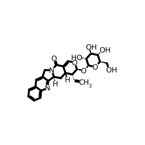 C=C[C@H]1[C@H](O[C@@H]2O[C@H](CO)[C@@H](O)[C@H](O)[C@H]2O)OC=C2C(=O)N3Cc4cc5ccccc5nc4[C@@H]3C[C@H]21